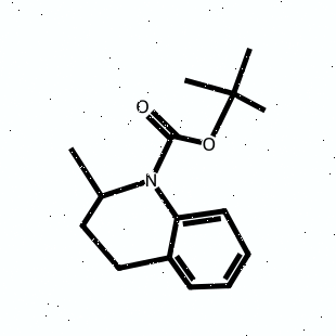 CC1CCc2ccccc2N1C(=O)OC(C)(C)C